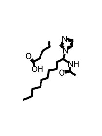 CCCCC(=O)O.CCCCCCCCCC(NC(C)=O)n1ccnc1